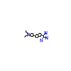 C=CCN(CC=C)c1ccc(-c2ccc3cc(C(C#N)=C(C#N)C#N)ccc3c2)cc1